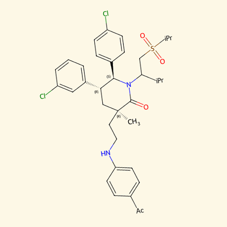 CC(=O)c1ccc(NCC[C@@]2(C)C[C@H](c3cccc(Cl)c3)[C@@H](c3ccc(Cl)cc3)N(C(CS(=O)(=O)C(C)C)C(C)C)C2=O)cc1